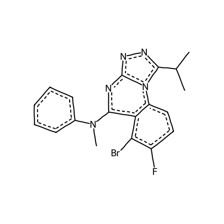 CC(C)c1nnc2nc(N(C)c3ccccc3)c3c(Br)c(F)ccc3n12